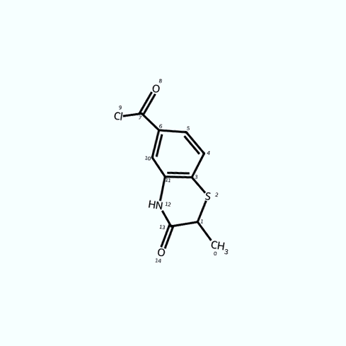 CC1Sc2ccc(C(=O)Cl)cc2NC1=O